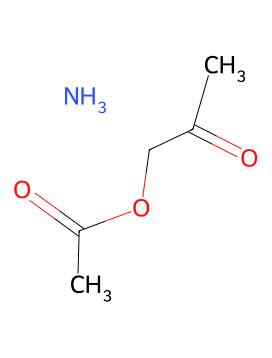 CC(=O)COC(C)=O.N